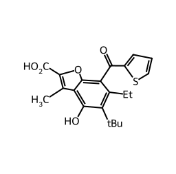 CCc1c(C(C)(C)C)c(O)c2c(C)c(C(=O)O)oc2c1C(=O)c1cccs1